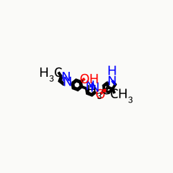 Cc1ccn(-c2ccc(-c3ccc(OC4CC5NCC(C)(C4)C5C)nn3)c(O)c2)n1